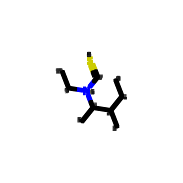 CCC(C)C(C)N(C=S)CC